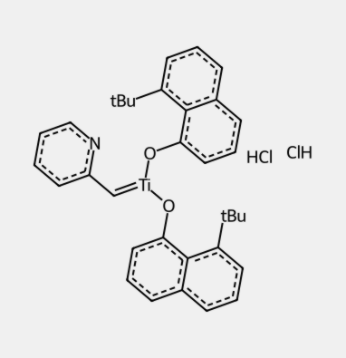 CC(C)(C)c1cccc2cccc([O][Ti](=[CH]c3ccccn3)[O]c3cccc4cccc(C(C)(C)C)c34)c12.Cl.Cl